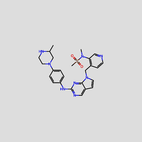 CC1CN(c2ccc(Nc3ncc4ccn(Cc5ccncc5N(C)S(C)(=O)=O)c4n3)cc2)CCN1